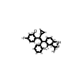 N#Cc1c(/C(=C(/c2ccc(F)cc2Cl)C2CC2)c2[c]cccc2)ccc2[nH]nc(F)c12